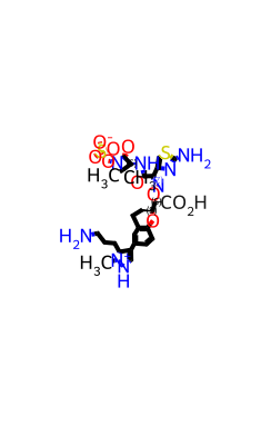 C[n+]1[nH]cc(-c2ccc3c(c2)CC[C@@H]([C@H](O/N=C(\C(=O)N[C@@H]2C(=O)N(OS(=O)(=O)[O-])C2(C)C)c2csc(N)n2)C(=O)O)O3)c1CCCN